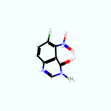 Cn1cnc2ccc(Cl)c([N+](=O)[O-])c2c1=O